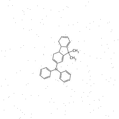 CC1(C)C2=CC=CCC2C2CC=C(N(c3ccccc3)c3ccccc3)C=C21